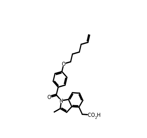 C=CCCCCOc1ccc(C(=O)n2c(C)cc3c(CC(=O)O)cccc32)cc1